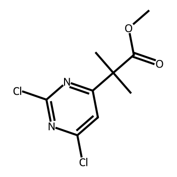 COC(=O)C(C)(C)c1cc(Cl)nc(Cl)n1